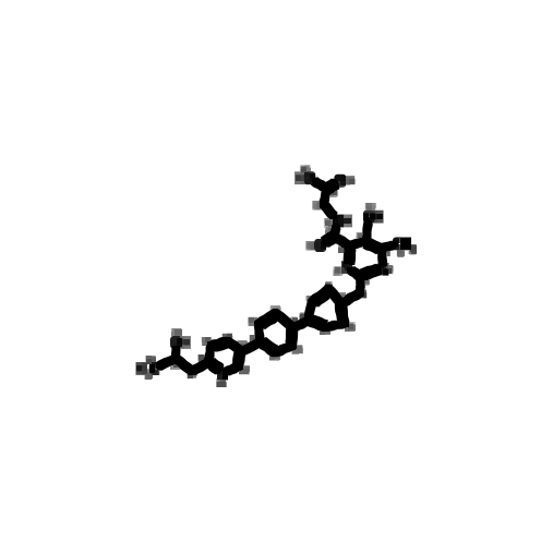 Cc1nc(Cc2ccc(-c3ccc(-c4ccc(CC(C)O)nc4)cc3)cc2)nc(C(=O)NCC(=O)O)c1O